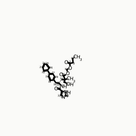 CCCC(=O)OCOC(=O)C(C)(CO)C[C@@H](Cc1ccc(-c2ccccc2)cc1)NC(=O)c1cnn[nH]1